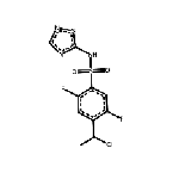 CC(Cl)c1cc(F)c(S(=O)(=O)Nc2ncns2)cc1F